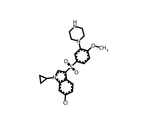 COc1ccc(S(=O)(=O)c2cn(C3CC3)c3cc(Cl)ccc23)cc1N1CCNCC1